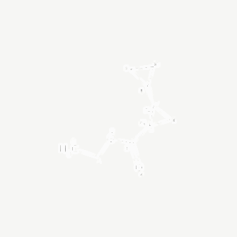 CCOC(=O)[C@H]1C[C@H]1C1CC1